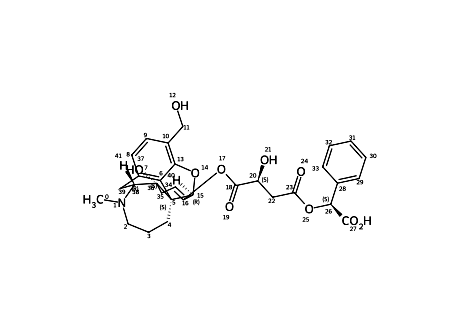 CN1CCC[C@]23c4c5ccc(CO)c4O[C@H]2C(OC(=O)[C@@H](O)CC(=O)O[C@H](C(=O)O)c2ccccc2)=CC[C@@]3(O)[C@H]1C5